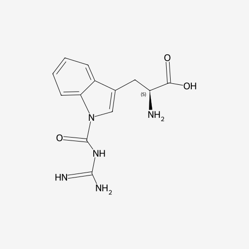 N=C(N)NC(=O)n1cc(C[C@H](N)C(=O)O)c2ccccc21